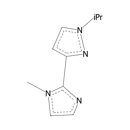 CC(C)n1ccc(-c2nccn2C)n1